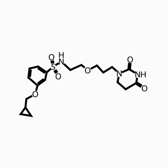 O=C1CCN(CCCOCCNS(=O)(=O)c2cccc(OCC3CC3)c2)C(=O)N1